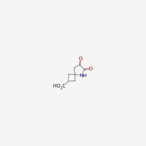 O=C1CC2(CC(C(=O)O)C2)NC1=O